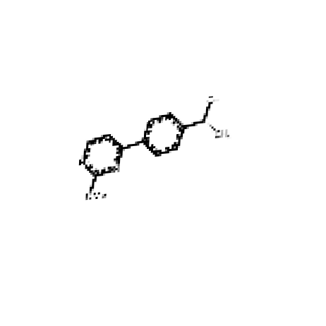 COc1nccc(-c2ccc([C@@H](C)O)cc2)n1